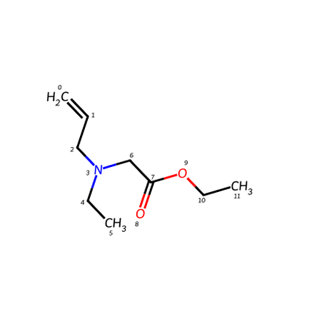 C=CCN(CC)CC(=O)OCC